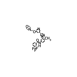 Cc1ccc(NC(=O)c2cccc(C(F)(F)F)c2)cc1-n1cc(-c2cncc(OCCN3CCOCC3)c2)cn1